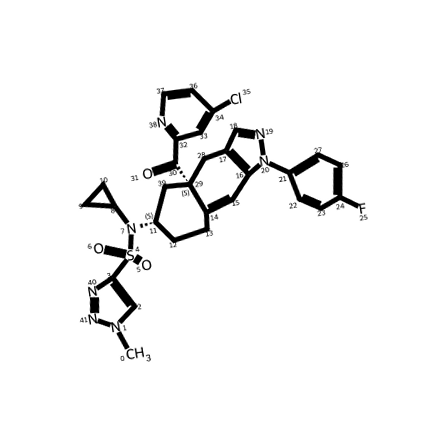 Cn1cc(S(=O)(=O)N(C2CC2)[C@H]2CCC3=Cc4c(cnn4-c4ccc(F)cc4)C[C@]3(C(=O)c3cc(Cl)ccn3)C2)nn1